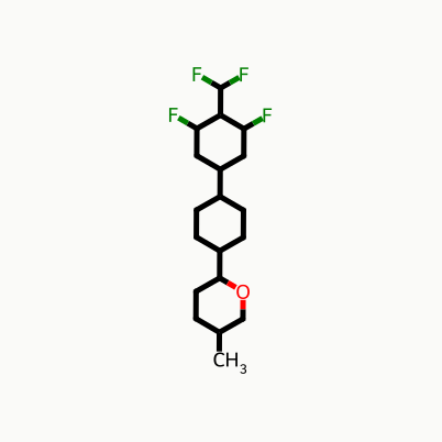 CC1CCC(C2CCC(C3CC(F)C(C(F)F)C(F)C3)CC2)OC1